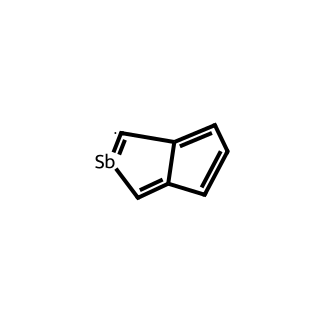 [C]1=[Sb][CH]=C2C=CC=C12